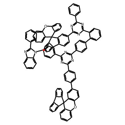 c1ccc(-c2nc(-c3ccc(-c4ccc5c(c4)C4(c6ccccc6O5)c5ccccc5-c5ccccc54)cc3)nc(-c3ccc(-c4ccccc4-c4nc(-c5ccccc5)nc(-c5ccc6c(c5)C5(c7ccccc7Oc7ccccc75)c5cc(-n7c(-c8ccccc8)nc8ccccc87)ccc5-6)n4)cc3)n2)cc1